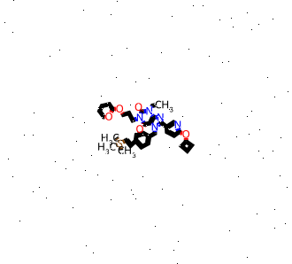 CCn1c(=O)n(CCCOC2CCCCO2)c(=O)c2c1nc(-c1ccc(OC3CCC3)nc1)n2Cc1ccc(C=CS(C)(C)C)cc1